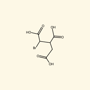 O=C(O)CC(C(=O)O)C(Br)C(=O)O